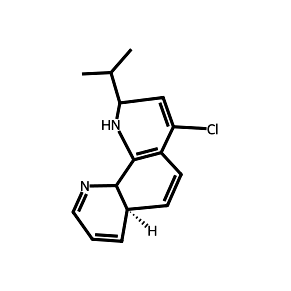 CC(C)C1C=C(Cl)C2=C(N1)C1N=CC=C[C@@H]1C=C2